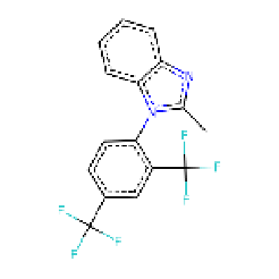 Cc1nc2ccccc2n1-c1ccc(C(F)(F)F)cc1C(F)(F)F